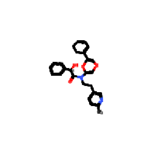 O=C([C@@H](O)c1ccccc1)N(CCc1ccc(C(F)(F)F)nc1)C1=COC=C(C2=CC=CCC2)O1